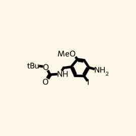 COc1cc(N)c(I)cc1CNC(=O)OC(C)(C)C